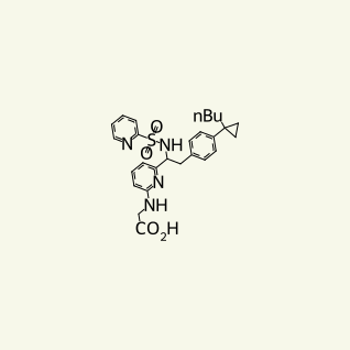 CCCCC1(c2ccc(CC(NS(=O)(=O)c3ccccn3)c3cccc(NCC(=O)O)n3)cc2)CC1